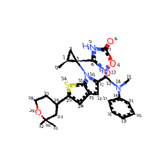 C[C@H]1C[C@]1(c1noc(=O)[nH]1)n1c(C(=O)N(C)c2ccccc2)cc2cc(C3CCOC(C)(C)C3)sc21